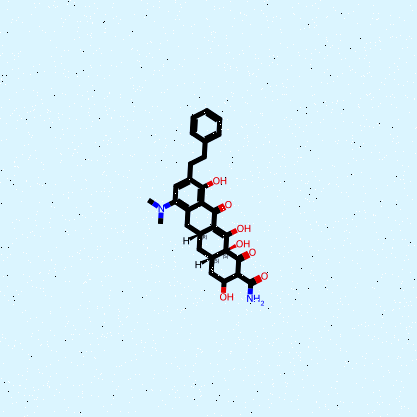 CN(C)c1cc(CCc2ccccc2)c(O)c2c1C[C@H]1C[C@H]3CC(O)C(C(N)=O)C(=O)[C@@]3(O)C(O)=C1C2=O